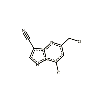 N#Cc1cnn2c(Cl)cc(CCl)nc12